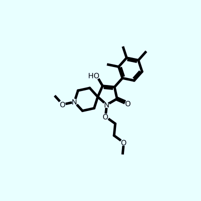 COCCON1C(=O)C(c2ccc(C)c(C)c2C)=C(O)C12CCN(OC)CC2